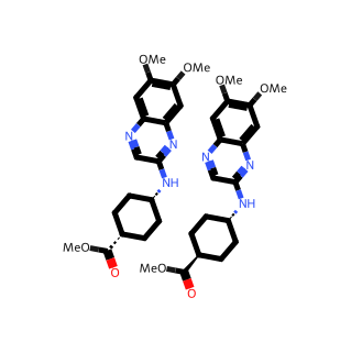 COc1cc2ncc(N[C@H]3CC[C@@H](C(=O)OC)CC3)nc2cc1OC.COc1cc2ncc(N[C@H]3CC[C@H](C(=O)OC)CC3)nc2cc1OC